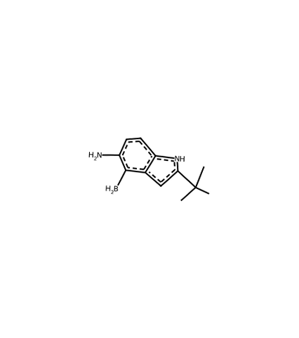 Bc1c(N)ccc2[nH]c(C(C)(C)C)cc12